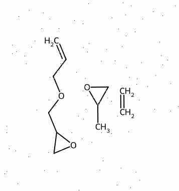 C=C.C=CCOCC1CO1.CC1CO1